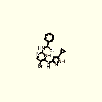 CCC(NC1N=CC(Br)=C(Nc2cc(C3CC3)[nH]n2)N1)c1ccccc1